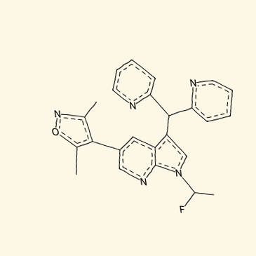 Cc1noc(C)c1-c1cnc2c(c1)c(C(c1ccccn1)c1ccccn1)cn2C(C)F